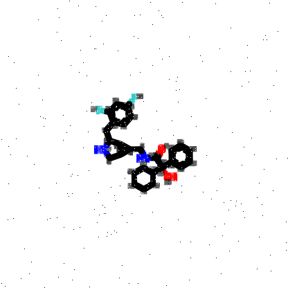 O=C(NCC1C2CNC(Cc3ccc(F)cc3F)C12)[C@@](O)(c1ccccc1)C1CCCCC1